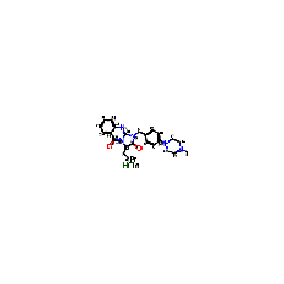 CC(C)CC1C(=O)N(Cc2ccc(N3CCN(C)CC3)cc2)c2nc3ccccc3c(=O)n21.Cl